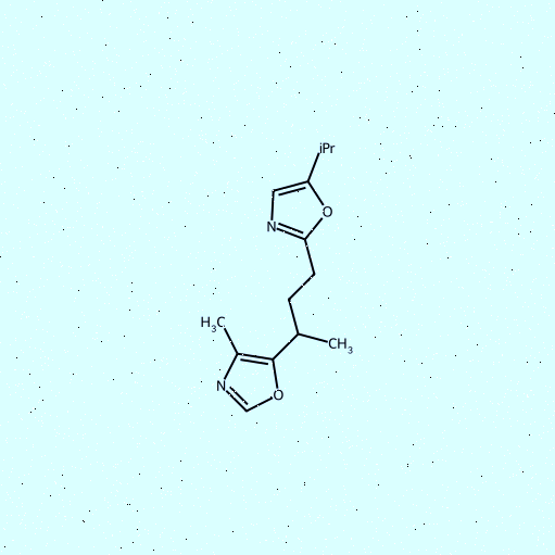 Cc1ncoc1C(C)CCc1ncc(C(C)C)o1